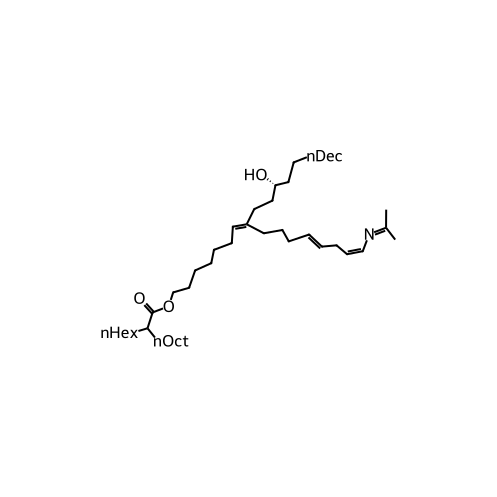 CCCCCCCCCCCC[C@@H](O)CC/C(=C/CCCCCCOC(=O)C(CCCCCC)CCCCCCCC)CCC/C=C/C/C=C\N=C(C)C